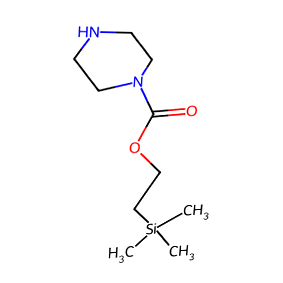 C[Si](C)(C)CCOC(=O)N1CCNCC1